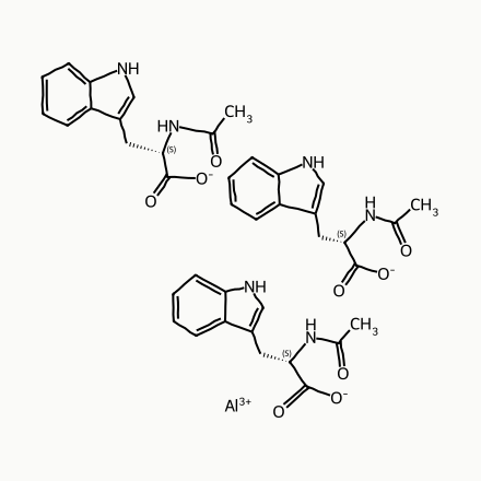 CC(=O)N[C@@H](Cc1c[nH]c2ccccc12)C(=O)[O-].CC(=O)N[C@@H](Cc1c[nH]c2ccccc12)C(=O)[O-].CC(=O)N[C@@H](Cc1c[nH]c2ccccc12)C(=O)[O-].[Al+3]